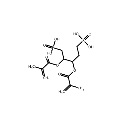 C=C(C)C(=O)OC(CCP(=O)(O)O)C(CP(=O)(O)O)OC(=O)C(=C)C